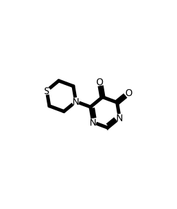 O=C1N=[C]N=C(N2CCSCC2)C1=O